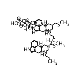 CCCN1CC(CSC)C[C@@H]2c3cccc4[nH]cc(c34)C[C@H]21.CCCN1C[C@H](CSC)C[C@@H]2c3cccc4[nH]cc(c34)C[C@H]21.CS(=O)(=O)O.CS(=O)(=O)O